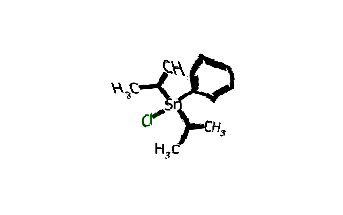 C[CH](C)[Sn]([Cl])([c]1ccccc1)[CH](C)C